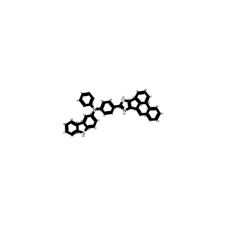 c1ccc(N(c2ccc(-c3nc4c(o3)-c3cccc5c3c-4cc3ccccc35)cc2)c2ccc3sc4ccccc4c3c2)cc1